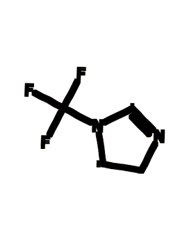 FC(F)(F)N1[C]CN=[C]1